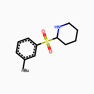 CCCCc1cccc(S(=O)(=O)C2CCC[CH]N2)c1